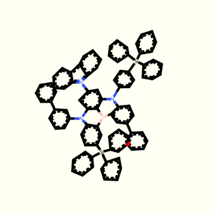 c1ccc(-c2cccc(N3c4ccc([Si](c5ccccc5)(c5ccccc5)c5ccccc5)cc4B4c5cc(-c6ccccc6)ccc5N(c5ccc([Si](c6ccccc6)(c6ccccc6)c6ccccc6)cc5)c5cc(-n6c7ccccc7c7ccccc76)cc3c54)c2)cc1